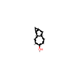 Oc1ccc2cc3c(c-2cc1)C3